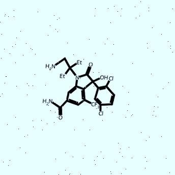 CCC(CC)(CN)N1C(=O)C(O)(c2cc(Cl)ccc2Cl)c2c1cc(C(N)=O)cc2C(F)(F)F